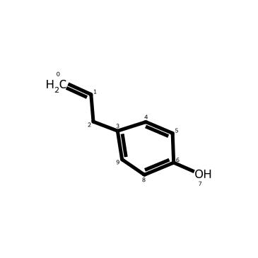 C=CCc1ccc(O)cc1